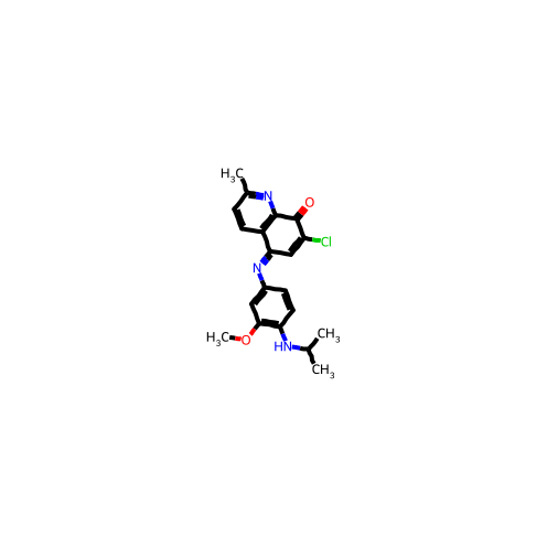 COc1cc(/N=C2\C=C(Cl)C(=O)c3nc(C)ccc32)ccc1NC(C)C